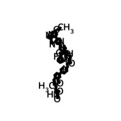 CCOc1cc(-c2ccc(N3CCC(CN4CCN(C(=O)CCN5CCC(c6ccc7c(c6)C(=O)N(C(C)CCC(=O)NC=O)C7)CC5)CC4)(NC(=O)c4ncccc4F)CC3)nc2)c2c(C#N)cnn2c1